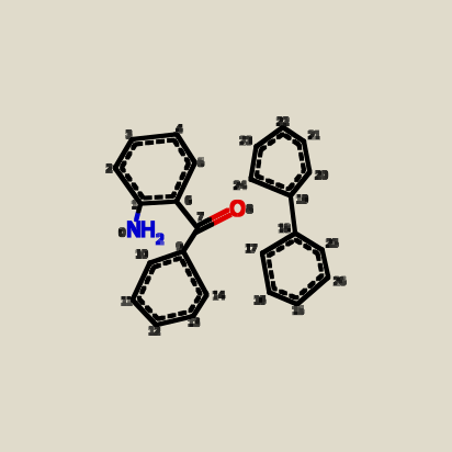 Nc1ccccc1C(=O)c1ccccc1.c1ccc(-c2ccccc2)cc1